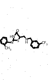 Cc1ccccc1N=C1NC(=O)C(CNCc2cccc(C(F)(F)F)c2)S1